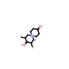 CC1C[N+]2(CCC(=O)CC2)CC(C)C1=O